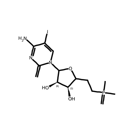 C=C1N=C(N)C(I)=CN1C1OC(CCP(=C)(C)C)[C@@H](O)[C@H]1O